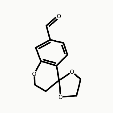 O=Cc1ccc2c(c1)OCCC21OCCO1